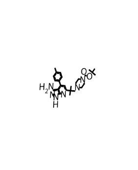 Cc1ccc(-c2cc(C(C)(C)CN3CCN(C(=O)OC(C)(C)C)CC3)nc3[nH]nc(N)c23)cc1